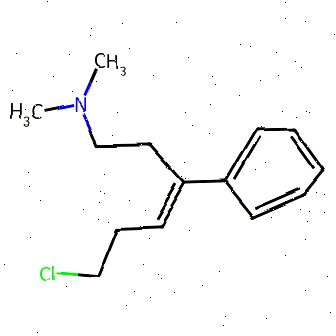 CN(C)CCC(=CCCCl)c1ccccc1